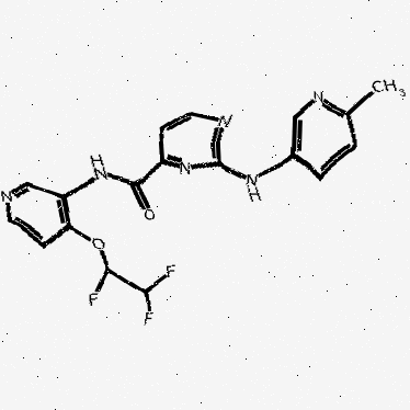 Cc1ccc(Nc2nccc(C(=O)Nc3cnccc3OC(F)C(F)F)n2)cn1